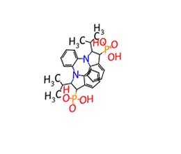 CC(C)C1C(P(=O)(O)O)c2ccccc2N1c1ccccc1N1c2ccccc2C(P(=O)(O)O)C1C(C)C